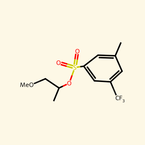 COCC(C)OS(=O)(=O)c1cc(C)cc(C(F)(F)F)c1